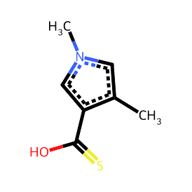 Cc1cn(C)cc1C(O)=S